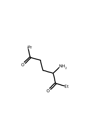 CCC(=O)C(N)CCC(=O)C(C)C